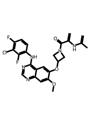 C=C(C)NC(=C)C(=O)N1CC(Oc2cc3c(Nc4ccc(F)c(Cl)c4F)ncnc3cc2OC)C1